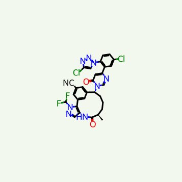 C[C@@H]1CCC[C@H](n2cnc(-c3cc(Cl)ccc3-n3cc(Cl)nn3)cc2=O)c2cc(C#N)cc(c2)-c2c(cnn2C(F)F)NC1=O